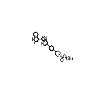 Cc1cc(-c2cnn3cc(-c4ccc(C5CCN(C(=O)OC(C)(C)C)CC5)cc4)cnc23)c2ccccc2n1